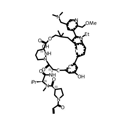 C=CC(=O)N1CC[C@H](C(=O)N(C)[C@H](C(=O)N[C@H]2Cc3cc(O)cc(c3)-c3ccc4c(c3)c(c(-c3cc(CN(C)C)cnc3COC)n4CC)CC(C)(C)COC(=O)[C@@]3(O)CCCN(N3)C2=O)C(C)C)C1